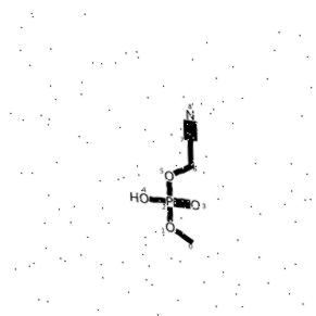 COP(=O)(O)OCC#N